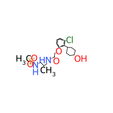 CC(CNC(=O)COc1cccc(Cl)c1C1CCC(O)CC1)CNS(C)(=O)=O